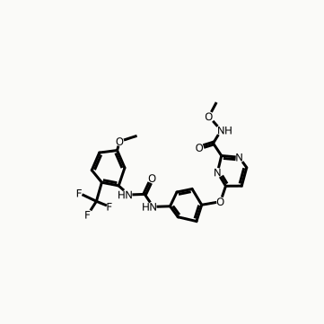 CONC(=O)c1nccc(Oc2ccc(NC(=O)Nc3cc(OC)ccc3C(F)(F)F)cc2)n1